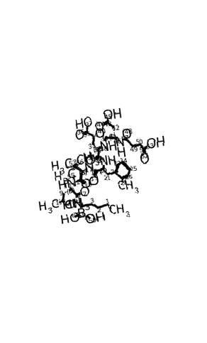 CCCCC(NC(=O)[C@H](CC(C)C)NC(=O)[C@@H](NC(=O)[C@H](Cc1ccccc1C)NC(=O)[C@H](CCC(=O)O)NC(=O)[C@H](CC(=O)O)NC(=O)CCC(=O)O)C(C)(C)C)B(O)O